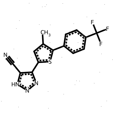 Cc1cc(-c2nn[nH]c2C#N)sc1-c1ccc(C(F)(F)F)cc1